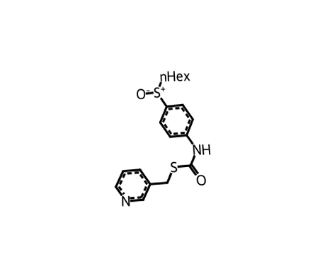 CCCCCC[S+]([O-])c1ccc(NC(=O)SCc2cccnc2)cc1